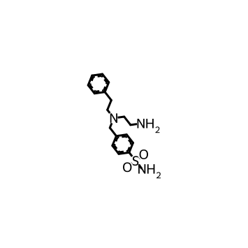 NCCN(CCc1ccccc1)Cc1ccc(S(N)(=O)=O)cc1